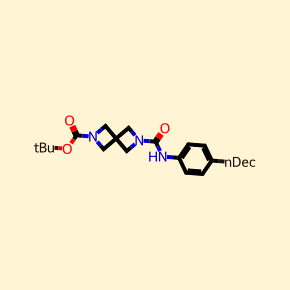 CCCCCCCCCCc1ccc(NC(=O)N2CC3(C2)CN(C(=O)OC(C)(C)C)C3)cc1